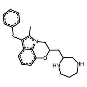 Cc1c(Sc2ccccc2)c2cccc3c2n1CC(CC1CNCCCN1)O3